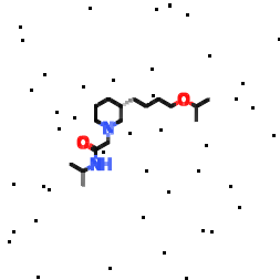 CC(C)NC(=O)CN1CCC[C@H](CCCCOC(C)C)C1